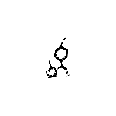 COc1ccc(C(=NO)n2nnnc2C)cc1